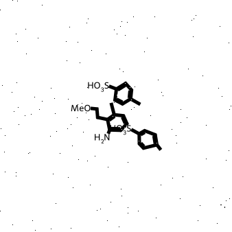 COCCc1c(C)cccc1N.Cc1ccc(S(=O)(=O)O)cc1.Cc1ccc(S(=O)(=O)O)cc1